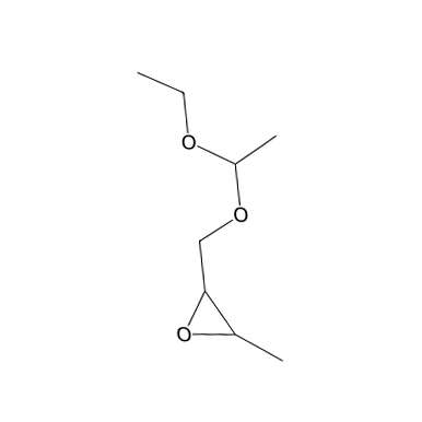 CCOC(C)OCC1OC1C